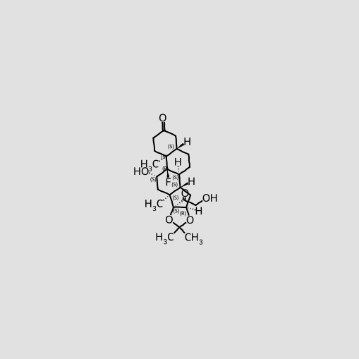 CC1(C)O[C@@H]2C[C@H]3[C@@H]4CC[C@H]5CC(=O)CC[C@]5(C)[C@@]4(F)[C@@H](O)C[C@]3(C)[C@]2(C(=O)CO)O1